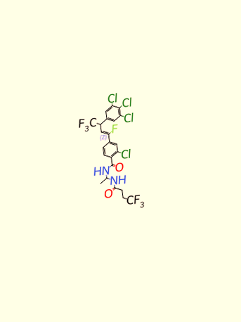 CC(NC(=O)CCC(F)(F)F)NC(=O)c1ccc(/C(F)=C/C(c2cc(Cl)c(Cl)c(Cl)c2)C(F)(F)F)cc1Cl